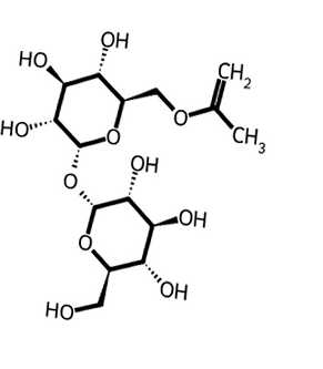 C=C(C)OC[C@H]1O[C@H](O[C@H]2O[C@H](CO)[C@@H](O)[C@H](O)[C@H]2O)[C@H](O)[C@@H](O)[C@@H]1O